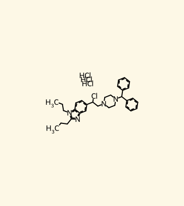 CCCc1nc2cc(C(Cl)CN3CCN(C(c4ccccc4)c4ccccc4)CC3)ccc2n1CCC.Cl.Cl.Cl